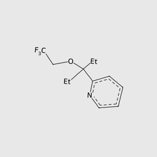 CCC(CC)(OCC(F)(F)F)c1ccccn1